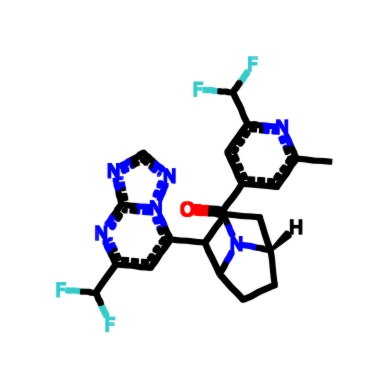 Cc1cc(C(=O)N2C3CC[C@H]2CCC3c2cc(C(F)F)nc3ncnn23)cc(C(F)F)n1